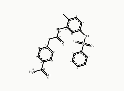 Cc1ccc(NS(=O)(=O)c2ccccc2)cc1NC(=O)Cc1ccc(C(=N)N)cc1